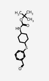 CC(C)(C)OC(=O)NC1CCC(Sc2cccc(C=O)c2)CC1